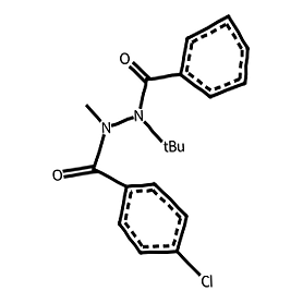 CN(C(=O)c1ccc(Cl)cc1)N(C(=O)c1ccccc1)C(C)(C)C